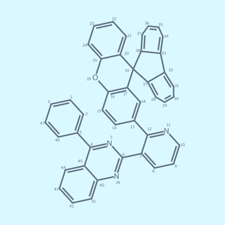 c1ccc(-c2nc(-c3cccnc3-c3ccc4c(c3)C3(c5ccccc5O4)c4ccccc4-c4ccccc43)nc3ccccc23)cc1